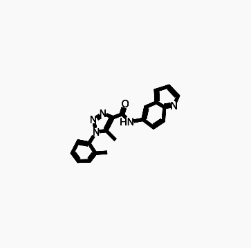 Cc1ccccc1-n1nnc(C(=O)Nc2ccc3ncccc3c2)c1C